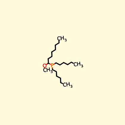 CCCCCCCC(OC)P(CCCCCC)CCCCCC